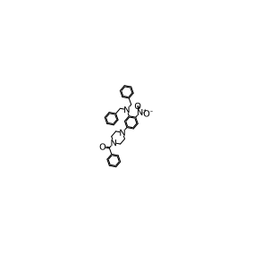 O=C(c1ccccc1)N1CCN(c2ccc([N+](=O)[O-])c(N(Cc3ccccc3)Cc3ccccc3)c2)CC1